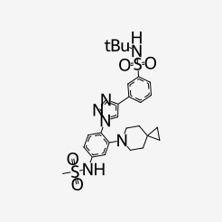 CC(C)(C)NS(=O)(=O)c1cccc(-c2cn(-c3ccc(NS(C)(=O)=O)cc3N3CCC4(CC3)CC4)nn2)c1